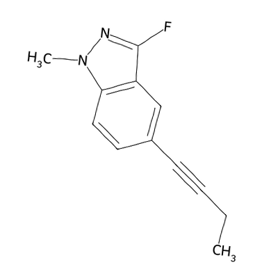 CCC#Cc1ccc2c(c1)c(F)nn2C